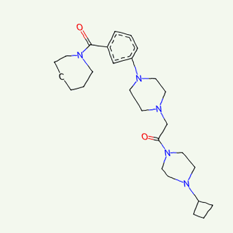 O=C(CN1CCN(c2cccc(C(=O)N3CCCCCC3)c2)CC1)N1CCN(C2CCC2)CC1